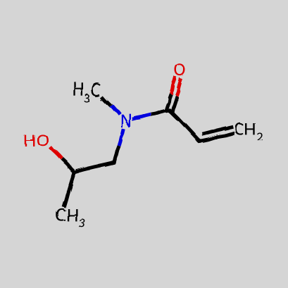 C=CC(=O)N(C)CC(C)O